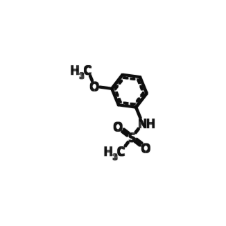 COc1cccc(NS(C)(=O)=O)c1